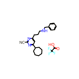 N#Cc1nc(CCCNCc2ccccc2)cc(C2CCCCCC2)n1.O=C(O)C(F)(F)F